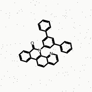 O=c1c2ccccc2c2ccc3cccnc3c2n1-c1cc(-c2ccccc2)cc(-c2ccccc2)c1